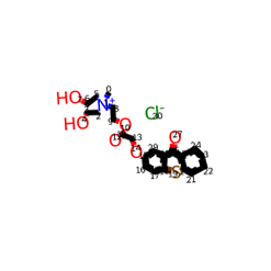 C[N+](CCO)(CCO)CCOC(=O)COc1ccc2sc3ccccc3c(=O)c2c1.[Cl-]